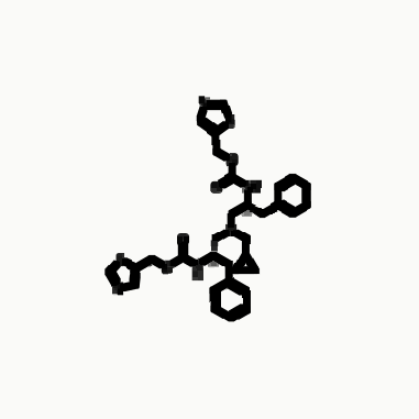 O=C(N[C@@H](Cc1ccccc1)CN(CC1CC1)C[C@H](Cc1ccccc1)NC(=O)OCc1cncs1)OCc1cncs1